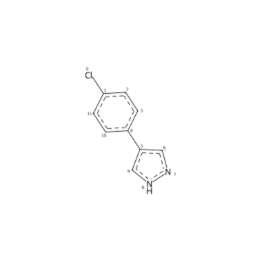 Clc1ccc(-c2[c]n[nH]c2)cc1